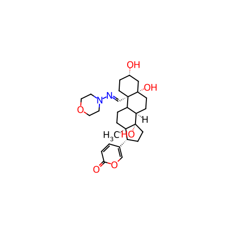 C[C@]12CCC3[C@@H](CC[C@]4(O)C[C@@H](O)CC[C@]34/C=N/N3CCOCC3)[C@@]1(O)CC[C@@H]2c1ccc(=O)oc1